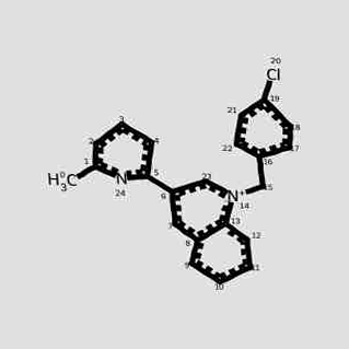 Cc1cccc(-c2cc3ccccc3[n+](Cc3ccc(Cl)cc3)c2)n1